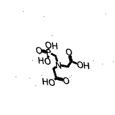 O=C(O)CN(CC(=O)O)CP(=O)(O)O